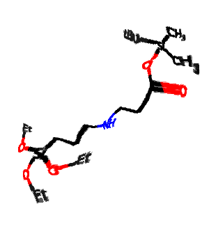 CCO[Si](CCCNCCC(=O)O[Si](C)(C)C(C)(C)C)(OCC)OCC